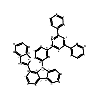 c1ccc(-c2nc(-c3ccccc3)nc(-c3cccc(-n4c5ccccc5c5cccc(-c6nc7ccccc7s6)c54)c3)n2)cc1